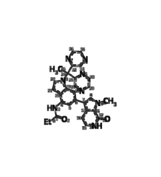 CCC(=O)Nc1cc(-c2cn(C)c3c(=O)[nH]ccc23)cc2c1ccn2C(C)(c1cnccn1)c1cnccn1